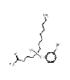 CCCCCCCC[N+](C)(C)CCOC(C)=O.Clc1ccccc1.[Br-]